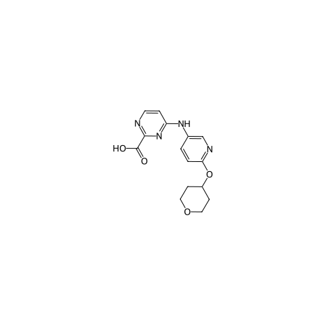 O=C(O)c1nccc(Nc2ccc(OC3CCOCC3)nc2)n1